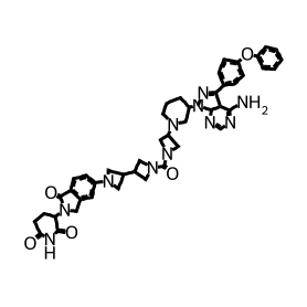 NC1=NC=NC2C1C(c1ccc(Oc3ccccc3)cc1)=NN2C1CCCN(C2CN(C(=O)N3CC(C4CN(c5ccc6c(c5)CN(C5CCC(=O)NC5=O)C6=O)C4)C3)C2)C1